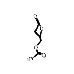 CCCC(=O)OCC1CC(=O)O1